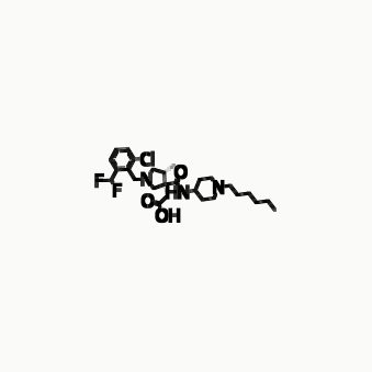 CCCCCCN1CCC(NC(=O)[C@@]2(CC(=O)O)CN(Cc3c(Cl)cccc3C(F)F)C[C@@H]2C)CC1